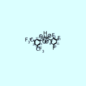 O=S(=O)(NS(=O)(=O)c1cc(F)cc(F)c1F)c1cc(C(F)(F)F)cc(C(F)(F)F)c1